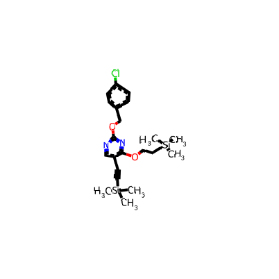 C[Si](C)(C)C#Cc1cnc(OCc2ccc(Cl)cc2)nc1OCC[Si](C)(C)C